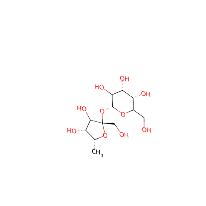 C[C@H]1O[C@@](CO)(O[C@H]2OC(CO)[C@@H](O)[C@@H](O)C2O)C(O)[C@H]1O